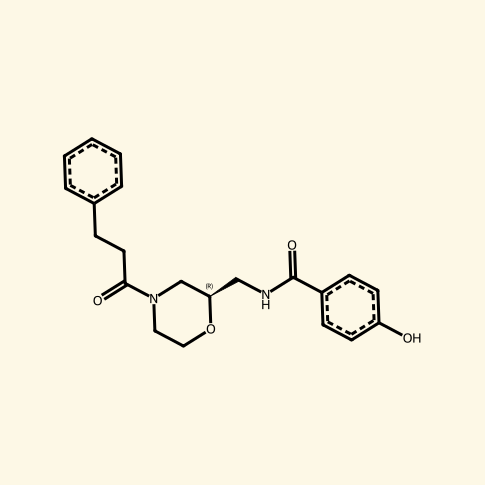 O=C(NC[C@@H]1CN(C(=O)CCc2ccccc2)CCO1)c1ccc(O)cc1